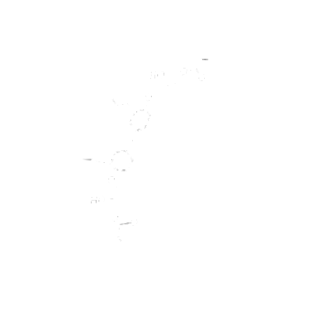 C=CCc1cc(C(C)(C)c2ccc(OCC(O)COC(=O)C=C)c(CC=C)c2)ccc1OCC(O)COC(=O)C=C